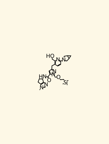 Cn1cnc2c1CC[C@H]2NC(=O)c1cc(Cc2ccc(N3CC4CC4C3)nc2CO)nn1COCC[Si](C)(C)C